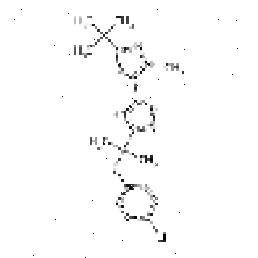 Cn1nc(C(C)(C)C)cc1-c1cnc(C(C)(C)Sc2ccc(Cl)cc2)[nH]1